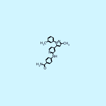 Cc1cccc(-n2nc(C)cc2-c2ccnc(Nc3ccc(C(N)=O)cc3)c2)c1